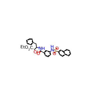 CCOC(=O)[C@@H](O)C(Cc1ccccc1)NC(=O)c1cccc(NS(=O)(=O)c2ccc3ccccc3c2)c1